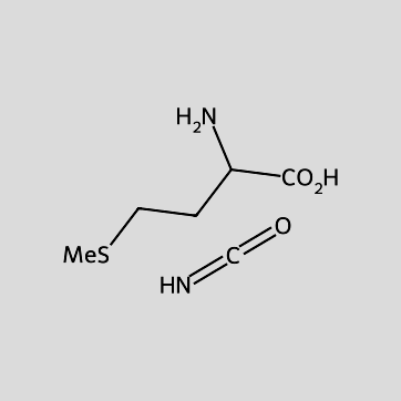 CSCCC(N)C(=O)O.N=C=O